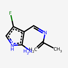 C=C(C)/N=C\c1c(F)c[nH]c1N